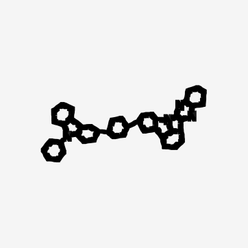 c1ccc(-n2c3ccccc3c3cc(-c4ccc(-c5ccc6c(c5)c5cccc7c8nc9ccccc9nc8n6c57)cc4)ccc32)cc1